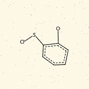 [O]c1ccccc1SCl